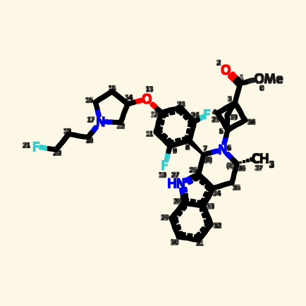 COC(=O)C12CC(N3[C@H](c4c(F)cc(OC5CCN(CCCF)C5)cc4F)c4[nH]c5ccccc5c4C[C@H]3C)(C1)C2